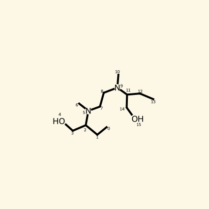 CCC(CO)N(C)CCN(C)C(CC)CO